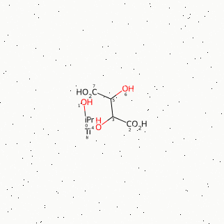 CC(C)O.O=C(O)C(O)C(O)C(=O)O.[Ti]